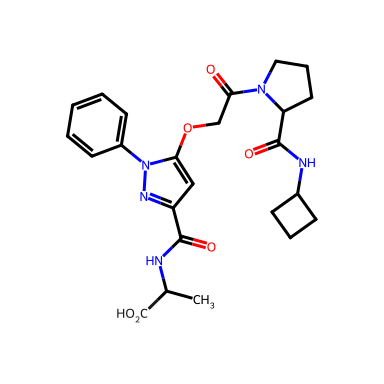 CC(NC(=O)c1cc(OCC(=O)N2CCCC2C(=O)NC2CCC2)n(-c2ccccc2)n1)C(=O)O